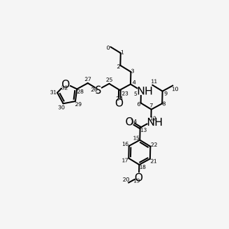 CCCCC(NCC(CC(C)C)NC(=O)c1ccc(OC)cc1)C(=O)CSCc1ccco1